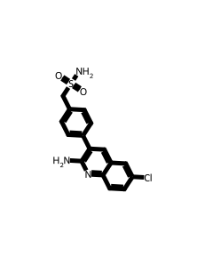 Nc1nc2ccc(Cl)cc2cc1-c1ccc(CS(N)(=O)=O)cc1